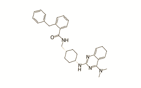 CN(C)c1nc(N[C@H]2CC[C@@H](CNC(=O)c3ccccc3Cc3ccccc3)CC2)nc2c1=CCCC=2